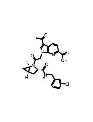 CC(=O)c1cn(CC(=O)N2[C@@H]3C[C@@H]3C[C@H]2C(=O)N(F)Cc2cccc(Cl)c2)c2nc(C(=O)O)ccc12